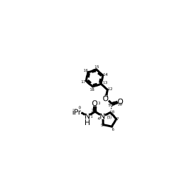 CC(C)NC(=O)N1CCC[C@H]1C(=O)OCc1ccccc1